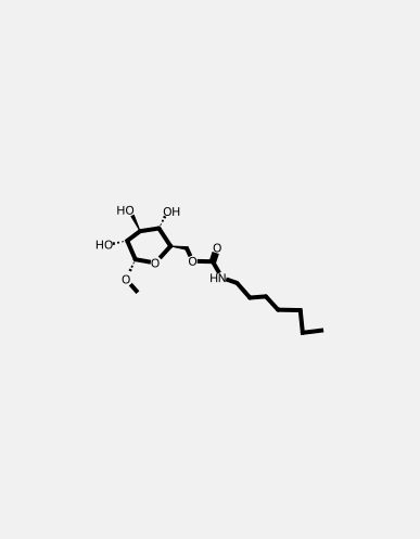 CCCCCCCNC(=O)OC[C@H]1O[C@H](OC)[C@H](O)[C@@H](O)[C@@H]1O